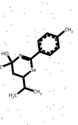 Cc1ccc(C2=NC(C)(O)CC(C(C)C)[Se]2)cc1